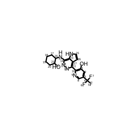 Oc1cc(C(F)(F)F)cnc1-c1nnc(NC2CCCCC2O)c2[nH]ccc12